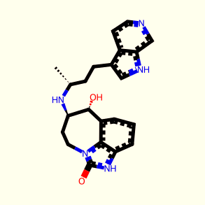 C[C@H](CCc1c[nH]c2cnccc12)N[C@@H]1CCn2c(=O)[nH]c3cccc(c32)[C@H]1O